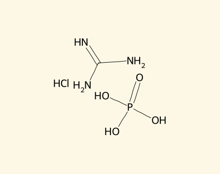 Cl.N=C(N)N.O=P(O)(O)O